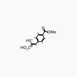 COC(=O)c1ccc(C=C(S)C(=O)O)cc1